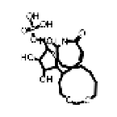 O=C1/C=C\C2(CCCCCCCCCC2C2OC(COP(=O)(O)O)C(O)C2O)CCC(O)N1